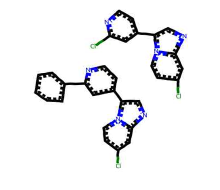 Clc1ccn2c(-c3ccnc(-c4ccccc4)c3)cnc2c1.Clc1ccn2c(-c3ccnc(Cl)c3)cnc2c1